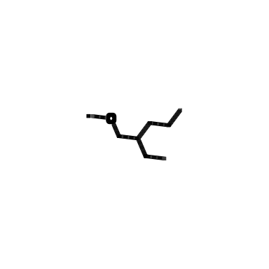 [CH2]OCC(CC)CCC